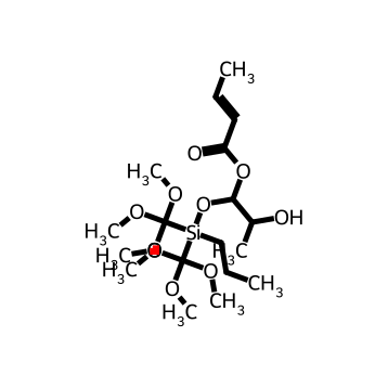 CC=CC(=O)OC(O[Si](CCC)(C(OC)(OC)OC)C(OC)(OC)OC)C(C)O